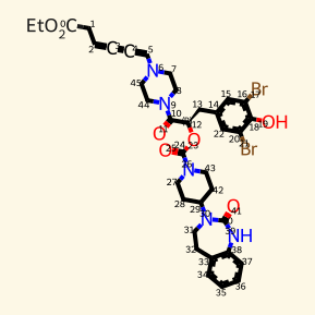 CCOC(=O)CC=C=C=CN1CCN(C(=O)[C@@H](Cc2cc(Br)c(O)c(Br)c2)OC(=O)N2CCC(N3CCc4ccccc4NC3=O)CC2)CC1